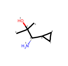 CC(C)(O)[C@@H](N)C1CC1